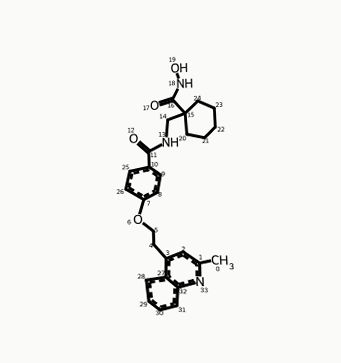 Cc1cc(CCOc2ccc(C(=O)NCC3(C(=O)NO)CCCCC3)cc2)c2ccccc2n1